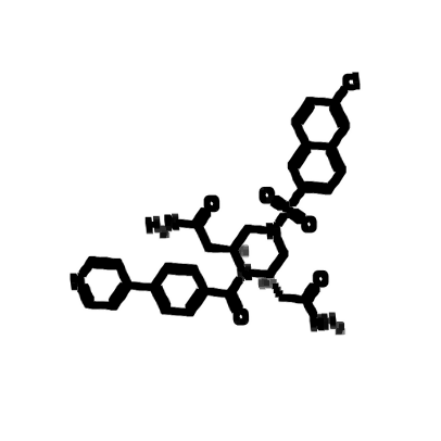 NC(=O)C[C@H]1CN(S(=O)(=O)c2ccc3cc(Cl)ccc3c2)C[C@H](CC(N)=O)N1C(=O)c1ccc(-c2ccncc2)cc1